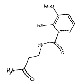 COc1cccc(C(=O)NCCC(N)=O)c1S